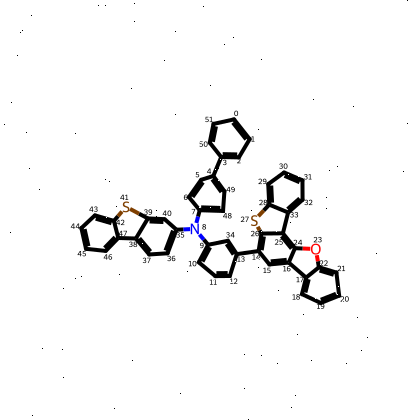 c1ccc(-c2ccc(N(c3cccc(-c4cc5c6ccccc6oc5c5c4sc4ccccc45)c3)c3ccc4c(c3)sc3ccccc34)cc2)cc1